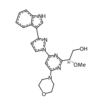 CO[C@@H](CO)c1nc(N2CCOCC2)cc(-n2ccc(-c3c[nH]c4ccccc34)n2)n1